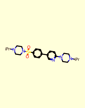 CC(C)N1CCN(c2ccc(-c3ccc(S(=O)(=O)N4CCN(C(C)C)CC4)cc3)cn2)CC1